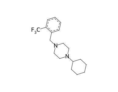 FC(F)(F)c1ccccc1CN1CCN(C2CCCCC2)CC1